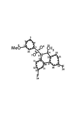 COc1cccc(S(=O)(=O)N2c3ccc(F)cc3-c3cc(F)ccc3C2C)c1